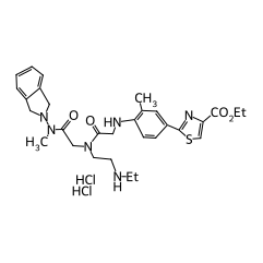 CCNCCN(CC(=O)N(C)N1Cc2ccccc2C1)C(=O)CNc1ccc(-c2nc(C(=O)OCC)cs2)cc1C.Cl.Cl